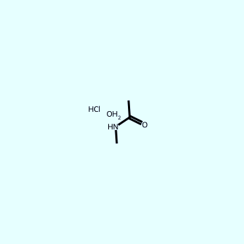 CNC(C)=O.Cl.O